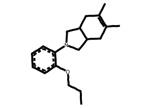 CCCOc1ccccc1N1CC2CC(C)=C(C)CC2C1